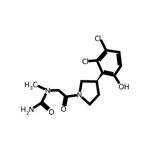 CN(CC(=O)N1CC[C@H](c2c(O)ccc(Cl)c2Cl)C1)C(N)=O